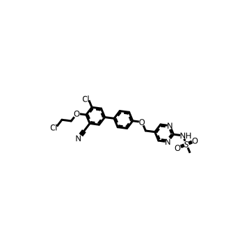 CS(=O)(=O)Nc1ncc(COc2ccc(-c3cc(Cl)c(OCCCl)c(C#N)c3)cc2)cn1